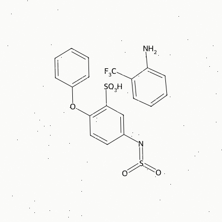 Nc1ccccc1C(F)(F)F.O=S(=O)=Nc1ccc(Oc2ccccc2)c(S(=O)(=O)O)c1